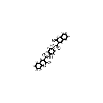 O=C(Nc1ccc(NC(=O)c2cc3ccccc3oc2=O)cc1)c1cc2ccccc2oc1=O